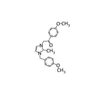 COc1ccc(CN2C=CN(CC(=O)c3ccc(OC)cc3)C2C)cc1